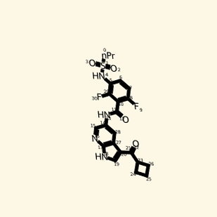 CCCS(=O)(=O)Nc1ccc(F)c(C(=O)Nc2cnc3[nH]cc(C(=O)C4CCC4)c3c2)c1F